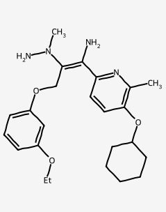 CCOc1cccc(OC/C(=C(/N)c2ccc(OC3CCCCC3)c(C)n2)N(C)N)c1